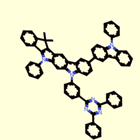 CC1(C)c2ccccc2-c2c1c1cc3c4cc(-c5ccc6c(c5)c5ccccc5n6-c5ccccc5)ccc4n(-c4cccc(-c5nc(-c6ccccc6)nc(-c6ccccc6)n5)c4)c3cc1n2-c1ccccc1